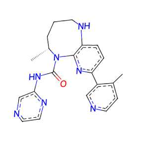 Cc1ccncc1-c1ccc2c(n1)N(C(=O)Nc1cnccn1)[C@H](C)CCCN2